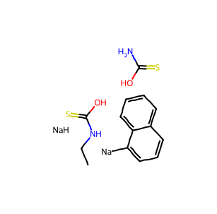 CCNC(O)=S.NC(O)=S.[NaH].[Na][c]1cccc2ccccc12